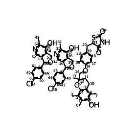 Cc1c(C)c2c(c(C)c1O)CCC(C)(COc1ccc(CC3SC(=O)NC3=O)cc1)O2.Cc1ncc2c(c1O)COC2c1ccc(Cl)cc1.Cc1ncc2c(c1O)COC2c1ccc(Cl)cc1